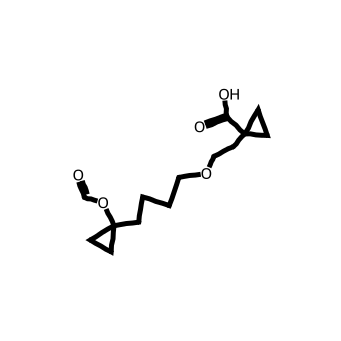 O=COC1(CCCCOCCC2(C(=O)O)CC2)CC1